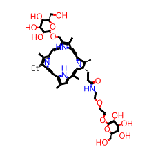 CCC1=C(C)c2cc3[nH]c(cc4nc(c(C)c5cc(C)c(cc1n2)[nH]5)[C@@H](CCC(=O)NCCOCCO[C@@H]1O[C@H](CO)[C@@H](O)[C@H](O)[C@H]1O)[C@@H]4C)c(C)c3CO[C@@H]1O[C@H](CO)[C@@H](O)[C@H](O)[C@H]1O